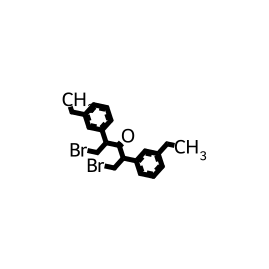 CCc1cccc(C(CBr)C(=O)C(CBr)c2cccc(CC)c2)c1